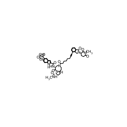 CNC(=O)[C@H]1CC[C@H]2CCN(C(=O)CCCCCC#Cc3cccc4c3CN(C3CCC(=O)N(C)C3=O)C4=O)C[C@@H](NC(=O)c3cc4cc(C(=O)P(=O)(O)O)ccc4[nH]3)C(=O)N21